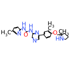 Cc1ccc(NC(=O)Nc2cncc(-c3ccc(OC[C@]4(C)CCCN4)c(C)c3)n2)nc1